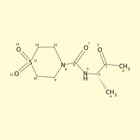 CC(=O)[C@H](C)NC(=O)N1CCS(=O)(=O)CC1